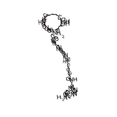 CO[C@H]1C[C@@H]2CC[C@@H](C)[C@@](O)(O2)C(=O)C(=O)N2CCCC[C@H]2C(=O)O[C@H]([C@H](N)C[C@@H]2CC[C@H](n3cc(-c4cnc(N5CCN(c6ncc(C(=O)NCCOCCOCCOCCC(=O)NCCCCn7nc(-c8ccc9oc(N)nc9c8)c8c(N)ncnc87)cn6)CC5)nc4)nn3)[C@H](OC)C2)CC(=O)[C@H](C)/C=C(\C)[C@@H](O)[C@@H](O)C(=O)[C@H](C)C[C@H](C)/C=C/C=C/C=C/1C